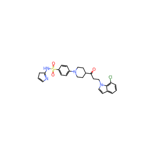 O=C(CCn1ccc2cccc(Cl)c21)C1CCN(c2ccc(S(=O)(=O)NC3=NC=CC3)cc2)CC1